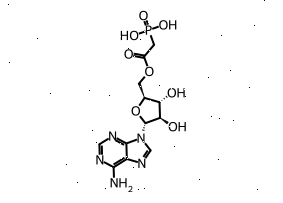 Nc1ncnc2c1ncn2[C@@H]1O[C@@H](COC(=O)CP(=O)(O)O)[C@H](O)[C@H]1O